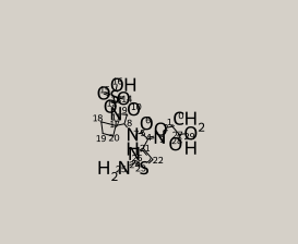 C=C(O/N=C(\C(=O)NC1C(=O)N(OS(=O)(=O)O)C12CCC2)c1csc(N)n1)C(=O)O